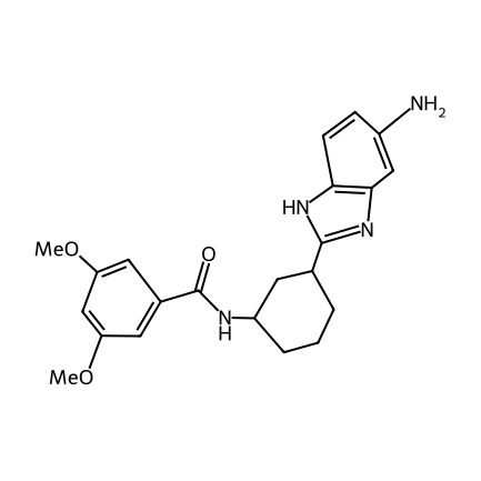 COc1cc(OC)cc(C(=O)NC2CCCC(c3nc4cc(N)ccc4[nH]3)C2)c1